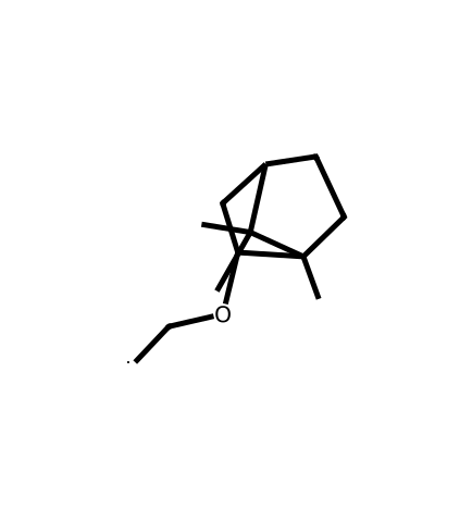 [CH2]COC1CC2CCC1(C)C2(C)C